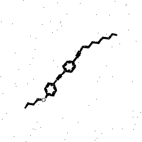 CCCCCCCCC#Cc1ccc(C#Cc2ccc(OCCCC)cc2)cc1